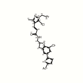 CC(=O)c1ccc(-c2cc(Cl)c3c(c2)CC(CNC(=O)/C=C/c2c(C)nn(CC(C)C)c2Cl)O3)s1